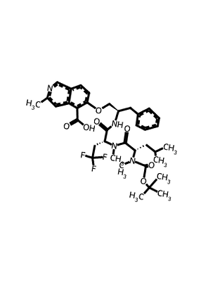 Cc1cc2c(C(=O)O)c(OC[C@@H](Cc3ccccc3)NC(=O)[C@@H](CC(F)(F)F)N(C)C(=O)[C@H](CC(C)C)N(C)C(=O)OC(C)(C)C)ccc2cn1